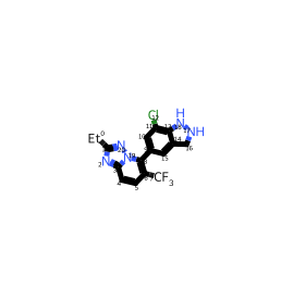 CCc1nc2ccc(C(F)(F)F)c(-c3cc(Cl)c4c(c3)CNN4)n2n1